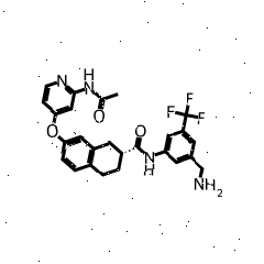 CC(=O)Nc1cc(Oc2ccc3c(c2)C[C@H](C(=O)Nc2cc(CN)cc(C(F)(F)F)c2)CC3)ccn1